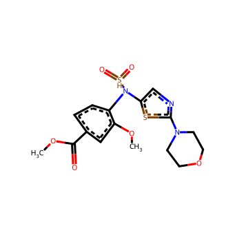 COC(=O)c1ccc(N(c2cnc(N3CCOCC3)s2)[SH](=O)=O)c(OC)c1